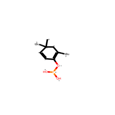 CC(C)(C)C1=C(OP(O)O)C=CC(C)(C(C)(C)C)C1